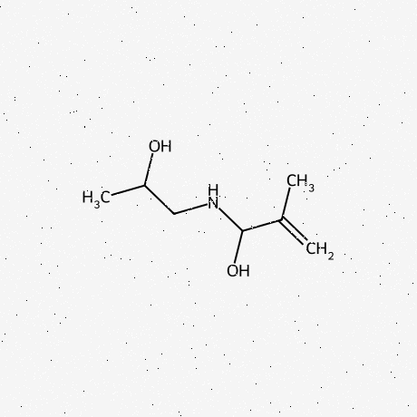 C=C(C)C(O)NCC(C)O